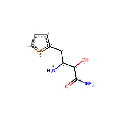 NC(=O)C(O)C(N)Cc1cccs1